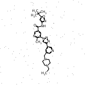 CCN1CCN(Cc2cncc(-c3cn(-c4cc(C(=O)Nc5cc(C(C)(C)C)on5)cnc4C)nn3)c2)CC1